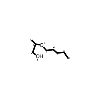 [CH2]C(CO)OCCCCC